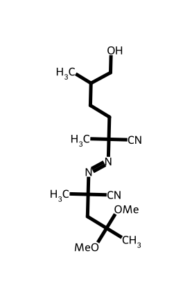 COC(C)(CC(C)(C#N)N=NC(C)(C#N)CCC(C)CO)OC